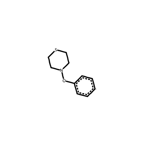 [c]1ccc(ON2CCSCC2)cc1